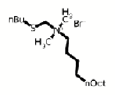 CCCCCCCCCCCC[N+](C)(C)CSCCCC.[Br-]